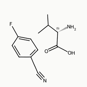 CC(C)[C@H](N)C(=O)O.N#Cc1ccc(F)cc1